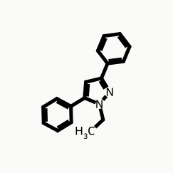 CCn1nc(-c2ccccc2)cc1-c1ccccc1